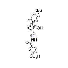 C/C(=N\NC(=O)c1ccc(C(=O)O)s1)c1csc(-c2ccc(C(C)(C)C)cc2)c1O